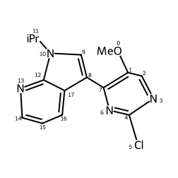 COc1cnc(Cl)nc1-c1cn(C(C)C)c2ncccc12